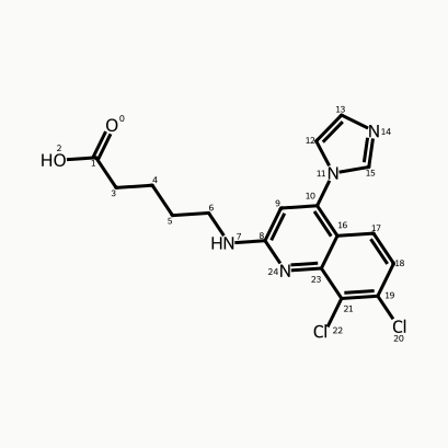 O=C(O)CCCCNc1cc(-n2ccnc2)c2ccc(Cl)c(Cl)c2n1